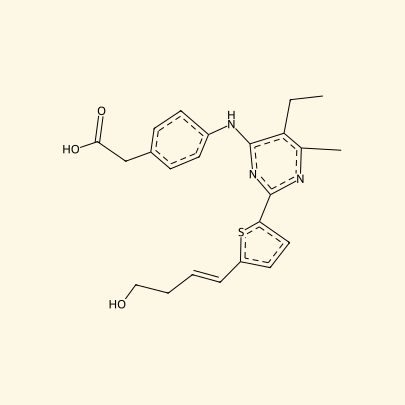 CCc1c(C)nc(-c2ccc(C=CCCO)s2)nc1Nc1ccc(CC(=O)O)cc1